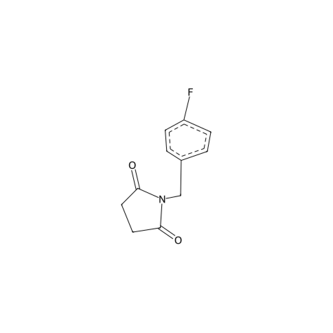 O=C1CCC(=O)N1Cc1ccc(F)cc1